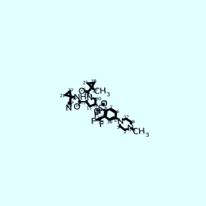 CN1CCN(c2ccc(S(=O)(=O)[C@@H]3C[C@@H](C(=O)NC4(C#N)CC4)N(C(=O)C4(C)CC4)C3)c(C(F)(F)F)c2)CC1